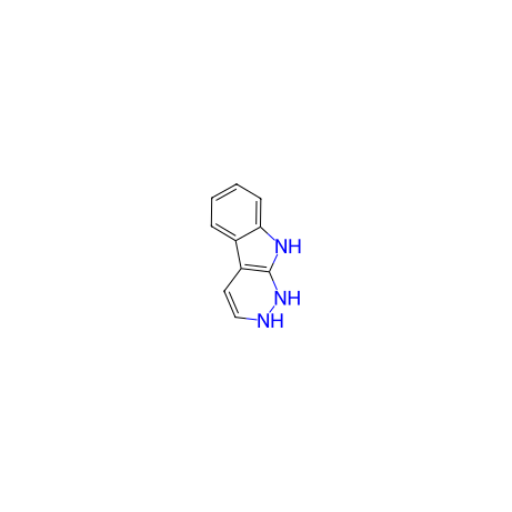 C1=Cc2c([nH]c3ccccc23)NN1